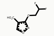 O=C(O)c1conc1OCC(F)F